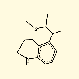 CSC(C)C(C)c1cccc2c1CCCN2